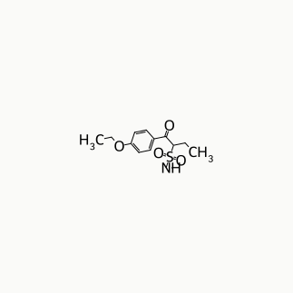 CCOc1ccc(C(=O)C(CC)S([NH])(=O)=O)cc1